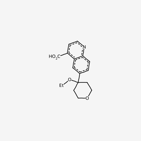 CCOC1(c2ccc3nccc(C(=O)O)c3c2)CCOCC1